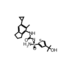 Cc1c(C2CC2)cc2c(c1NC(=O)N=S(N)(=O)c1cc(C(C)(C)O)cs1)CCC2